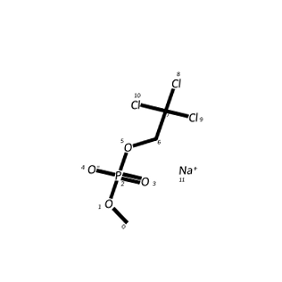 COP(=O)([O-])OCC(Cl)(Cl)Cl.[Na+]